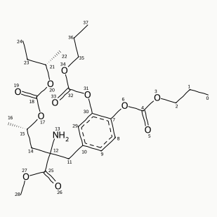 CCCOC(=O)Oc1ccc(CC(N)(C[C@H](C)OC(=O)O[C@@H](C)CC)C(=O)OC)cc1OC(=O)OCCC